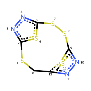 C1Sc2nnc(s2)SSc2nnc1s2